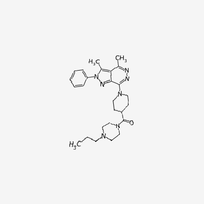 CCCN1CCN(C(=O)C2CCN(c3nnc(C)c4c(C)n(-c5ccccc5)nc34)CC2)CC1